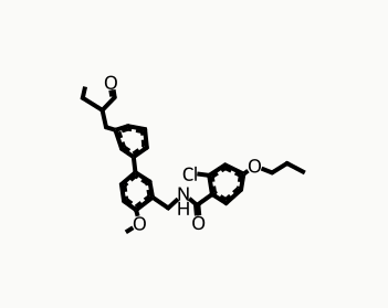 CCCOc1ccc(C(=O)NCc2cc(-c3cccc(CC(C=O)CC)c3)ccc2OC)c(Cl)c1